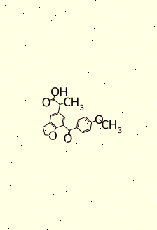 COc1ccc(C(=O)c2cc(C(C)C(=O)O)cc3c2OCC3)cc1